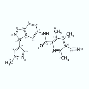 Cc1nc(C(=O)Nc2ccc3cnn(-c4cnn(C)c4)c3c2)c(C)c(C)c1C#N